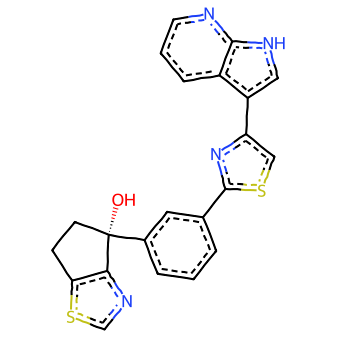 O[C@@]1(c2cccc(-c3nc(-c4c[nH]c5ncccc45)cs3)c2)CCc2scnc21